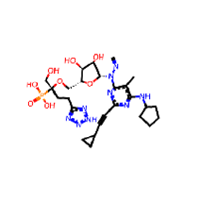 C=NN(c1nc(C#CC2CC2)nc(NC2CCCC2)c1C)[C@@H]1O[C@H](CO[C@](CO)(CCc2nn[nH]n2)P(=O)(O)O)[C@@H](O)[C@H]1O